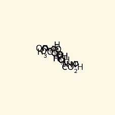 C[C@]12CC[C@H](N(CCN3CCCC3)C(=O)O)C[C@H]1CC[C@@H]1[C@@H]2CC[C@]2(C)[C@@H](c3ccc(=O)oc3)C[C@H]3O[C@]132